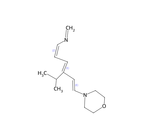 C=N\C=C/C=C(/C=C/N1CCOCC1)C(C)C